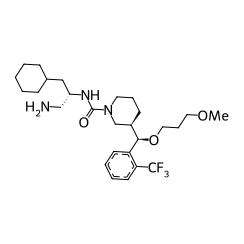 COCCCO[C@@H](c1ccccc1C(F)(F)F)[C@@H]1CCCN(C(=O)N[C@H](CN)CC2CCCCC2)C1